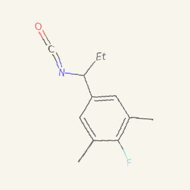 CCC(N=C=O)c1cc(C)c(F)c(C)c1